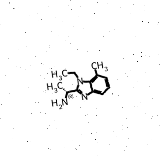 CCn1c([C@@H](C)N)nc2cccc(C)c21